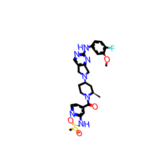 COc1cc(Nc2ncc3c(n2)CN([C@@H]2CCN(C(=O)c4ccnc(NS(C)(=O)=O)c4)[C@H](C)C2)C3)ccc1F